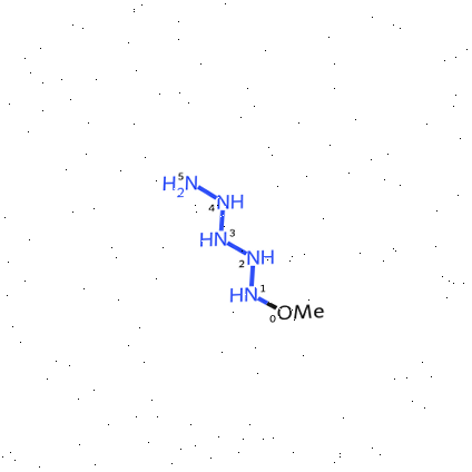 CONNNNN